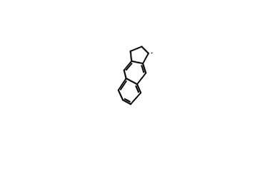 [CH]1CCc2cc3ccccc3cc21